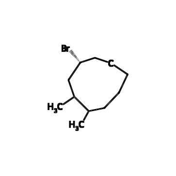 CC1CCCCC[C@@H](Br)CC1C